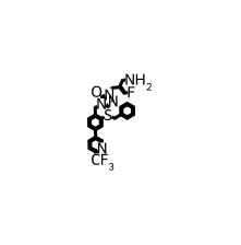 NC/C(=C\F)Cn1ncn(Cc2ccc(-c3ccc(C(F)(F)F)nc3)cc2SCc2ccccc2)c1=O